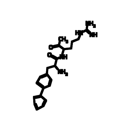 CC(=O)C(CCCNC(=N)N)NC(=O)C(N)Cc1ccc(-c2ccccc2)cc1